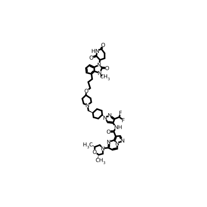 C[C@@H]1CN(c2ccn3ncc(C(=O)Nc4cn([C@H]5CC[C@H](CN6CCC(OCCCc7cccc8c7n(C)c(=O)n8C7CCC(=O)NC7=O)CC6)CC5)nc4C(F)F)c3n2)C[C@H](C)O1